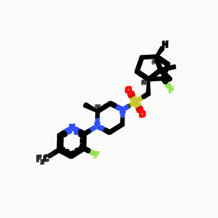 C[C@H]1CN(S(=O)(=O)C[C@]23CC[C@H](CC2F)C3(C)C)CCN1c1ncc(C(F)(F)F)cc1F